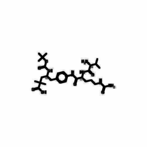 CC(C)[C@H](N)C(=O)N[C@@H](CCCNC(N)=O)C(=O)Nc1ccc(C[C@@H](CC(C)(C)C(=O)O)NC(=O)OC(C)(C)C)cc1